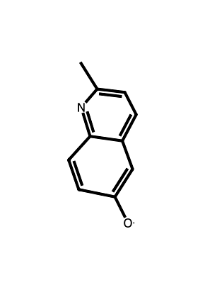 Cc1ccc2cc([O])ccc2n1